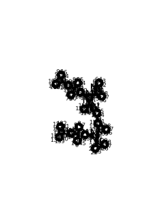 c1ccc([Si](c2ccccc2)(c2ccc(-c3nc(-n4c5ccccc5c5ccccc54)cc(-n4c5ccccc5c5cc(-c6ccc7nc8n(-c9cc(-n%10c%11ccccc%11n%11c%12ccccc%12nc%10%11)nc(-c%10ccc([Si](c%11ccccc%11)(c%11ccccc%11)c%11ccc(-n%12c%13ccccc%13c%13ccccc%13%12)cc%11)cc%10)n9)c9ccccc9n8c7c6)ccc54)n3)cc2)c2ccc(-n3c4ccccc4c4ccccc43)cc2)cc1